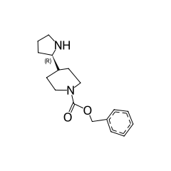 O=C(OCc1ccccc1)N1CCC([C@H]2CCCN2)CC1